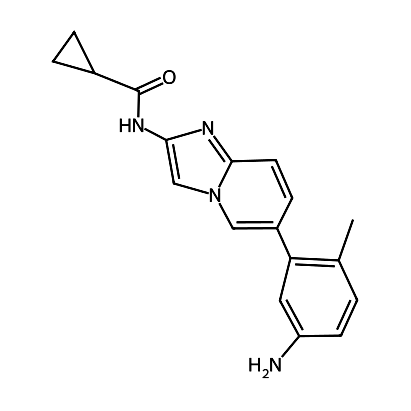 Cc1ccc(N)cc1-c1ccc2nc(NC(=O)C3CC3)cn2c1